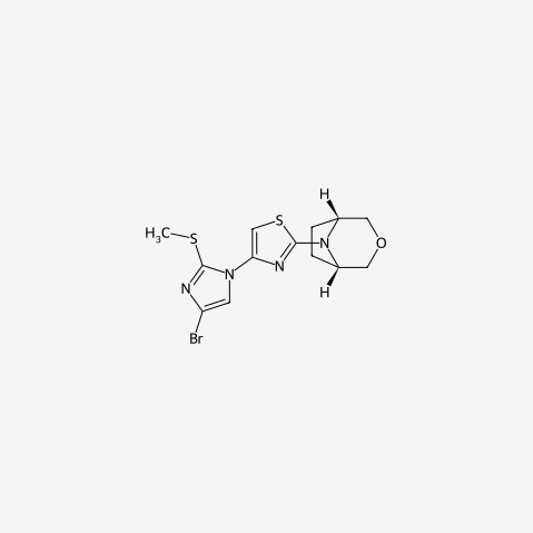 CSc1nc(Br)cn1-c1csc(N2[C@@H]3CC[C@H]2COC3)n1